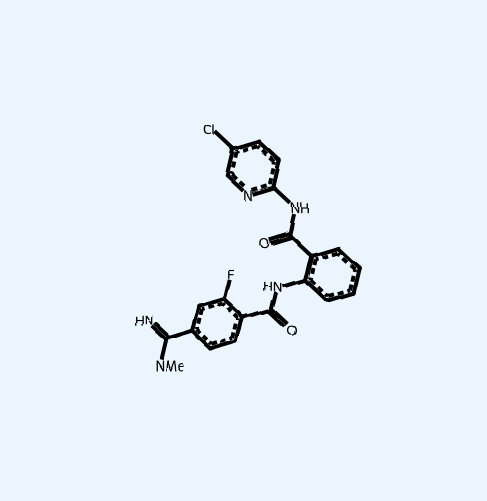 CNC(=N)c1ccc(C(=O)Nc2ccccc2C(=O)Nc2ccc(Cl)cn2)c(F)c1